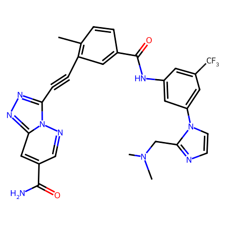 Cc1ccc(C(=O)Nc2cc(-n3ccnc3CN(C)C)cc(C(F)(F)F)c2)cc1C#Cc1nnc2cc(C(N)=O)cnn12